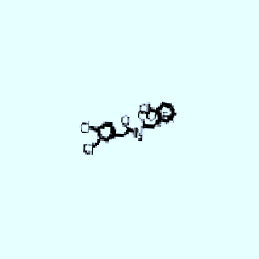 CCOC(=O)C(Cc1ccccc1Cl)N(C)C(=O)Cc1ccc(Cl)c(Cl)c1